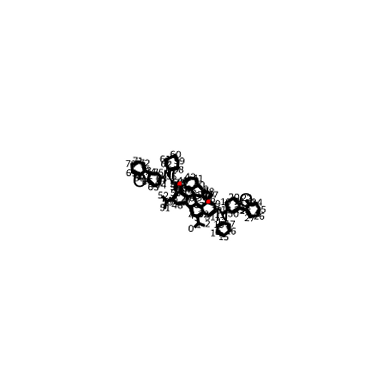 CC(C)c1cc2c(c3ccc(N(c4ccccc4)c4ccc5oc6ccccc6c5c4)cc13)C1(c3ccccc3-c3ccccc31)c1c-2cc(C(C)C)c2cc(N(c3ccccc3)c3ccc4oc5ccccc5c4c3)ccc12